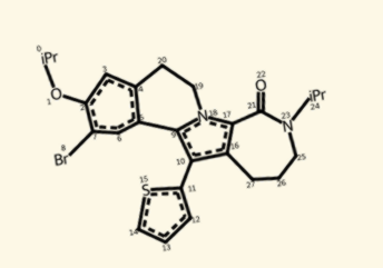 CC(C)Oc1cc2c(cc1Br)-c1c(-c3cccs3)c3c(n1CC2)C(=O)N(C(C)C)CCC3